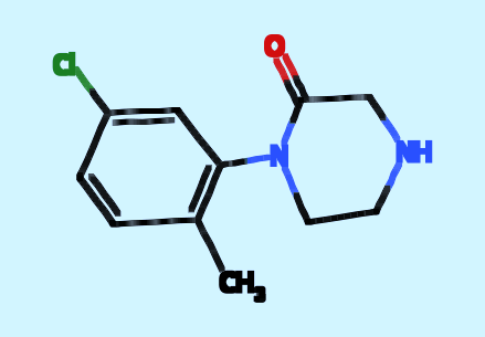 Cc1ccc(Cl)cc1N1CCNCC1=O